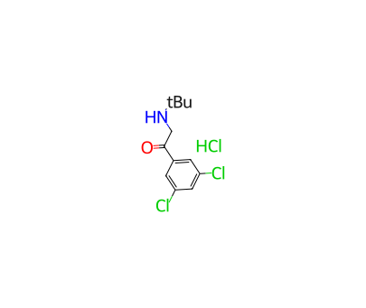 CC(C)(C)NCC(=O)c1cc(Cl)cc(Cl)c1.Cl